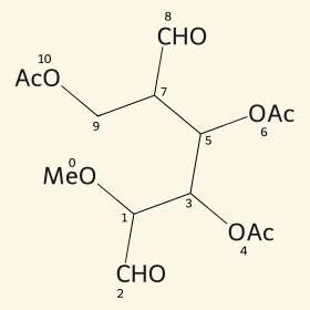 COC(C=O)C(OC(C)=O)C(OC(C)=O)C(C=O)COC(C)=O